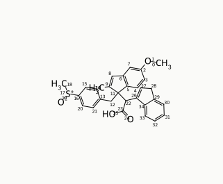 COc1ccc2c(c1)C=C(C)C2(Cc1ccc([S+](C)[O-])cc1)C(C(=O)O)C1=CCc2ccccc21